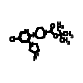 CC(C)(C)OC(=O)N1CCN(c2ncc(Cl)cc2N2CC[C@@H](F)C2)CC1